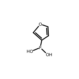 OP(O)c1ccoc1